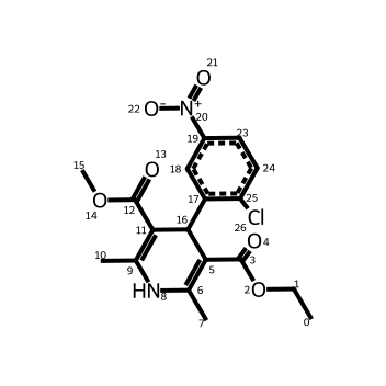 CCOC(=O)C1=C(C)NC(C)=C(C(=O)OC)C1c1cc([N+](=O)[O-])ccc1Cl